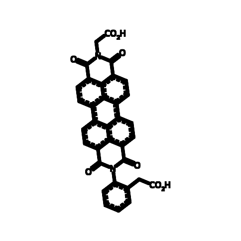 O=C(O)Cc1ccccc1N1C(=O)c2ccc3c4ccc5c6c(ccc(c7ccc(c2c37)C1=O)c64)C(=O)N(CC(=O)O)C5=O